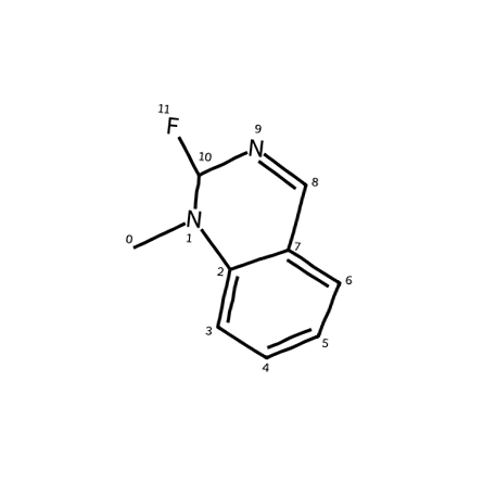 CN1c2ccccc2C=NC1F